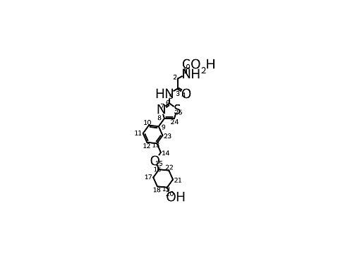 O=C(O)NCC(=O)Nc1nc(-c2cccc(COC3CCC(O)CC3)c2)cs1